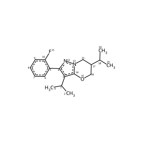 CC(C)c1c(-c2ccccc2F)nn2c1OCC(C(C)C)C2